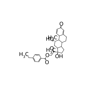 CCc1ccc(C(=O)OCC(=O)[C@@]2(O)CCC3C4CCC5=CC(=O)C=C[C@]5(C)C4[C@@H](O)C[C@@]32C)cc1